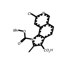 Cc1c(C(=O)O)c2ccc3cnc(Cl)cc3c2n1C(=O)OC(C)(C)C